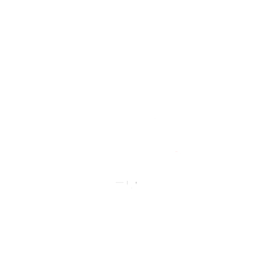 Cc1cc[c]c(OS(=O)(=O)O)c1